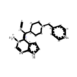 C=N/C(=C1/c2cc[nH]c2N=CN1N)C1CCN(Cc2ccncc2)CC1